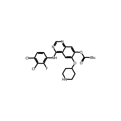 CC(C)(C)C(=O)Oc1cc2ncnc(Nc3ccc(Cl)c(Cl)c3F)c2cc1OC1CCNCC1